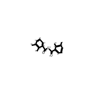 Cc1cccc(C(=O)SC(=O)c2cccc(C)c2C)c1C